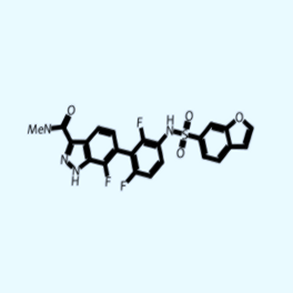 CNC(=O)c1n[nH]c2c(F)c(-c3c(F)ccc(NS(=O)(=O)c4ccc5ccoc5c4)c3F)ccc12